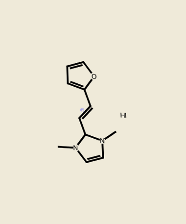 CN1C=CN(C)C1/C=C/c1ccco1.I